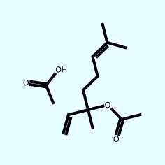 C=CC(C)(CCC=C(C)C)OC(C)=O.CC(=O)O